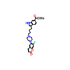 COC(=O)c1ccc2c(CCCCN3CCN(c4cc5ccc(=O)oc5cc4F)CC3)c[nH]c2c1